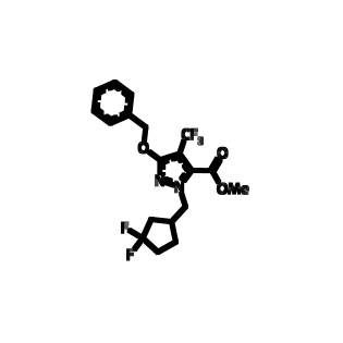 COC(=O)c1c(C(F)(F)F)c(OCc2ccccc2)nn1CC1CCC(F)(F)C1